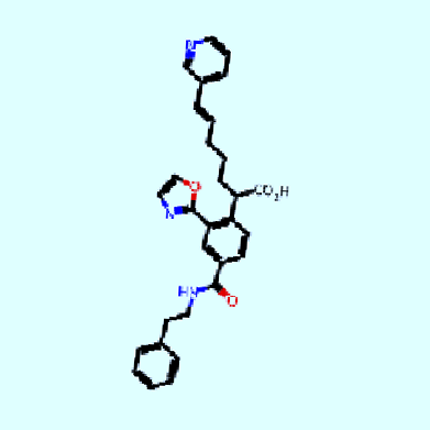 O=C(NCCc1ccccc1)c1ccc(C(CCCC=Cc2cccnc2)C(=O)O)c(-c2ncco2)c1